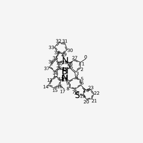 Cc1cc(-c2cc3c(cc2Nc2ccccc2C)sc2ccccc23)c2c(c1)-n1c3ccccc3c3cccc(c31)B2